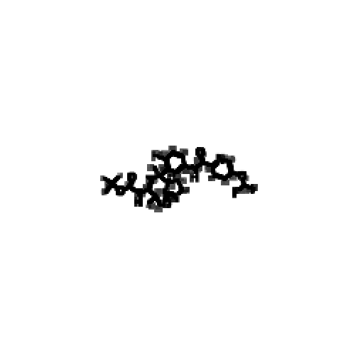 CC(C)(C)OC(=O)NC1=N[C@](C)(c2cc(NC(=O)c3ccc(OC(F)F)cn3)ccc2F)[C@@H]2CCN=[S@]2(=O)C1(C)C